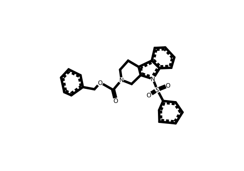 O=C(OCc1ccccc1)N1CCc2c(n(S(=O)(=O)c3ccccc3)c3ccccc23)C1